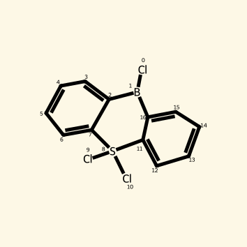 ClB1c2ccccc2S(Cl)(Cl)c2ccccc21